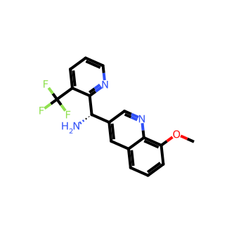 COc1cccc2cc([C@H](N)c3ncccc3C(F)(F)F)cnc12